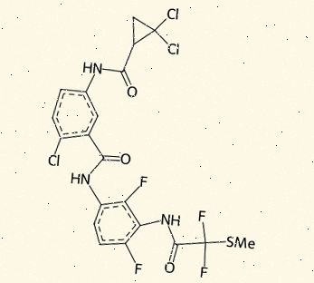 CSC(F)(F)C(=O)Nc1c(F)ccc(NC(=O)c2cc(NC(=O)C3CC3(Cl)Cl)ccc2Cl)c1F